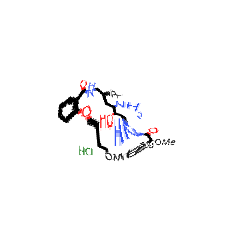 COCCCCOc1ccccc1C(=O)NCC(CC(N)C(O)CNC(=O)[C@H](OC)C(C)(C)C)C(C)C.Cl